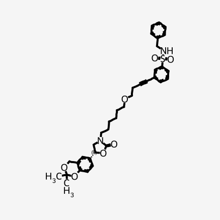 CC1(C)OCc2cc([C@@H]3CN(CCCCCCOCCC#Cc4cccc(S(=O)(=O)NCc5ccccc5)c4)C(=O)O3)ccc2O1